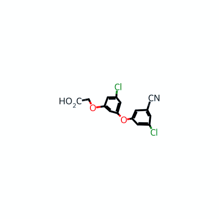 N#Cc1cc(Cl)cc(Oc2cc(Cl)cc(OCC(=O)O)c2)c1